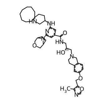 Cc1ncoc1COc1ccc2c(c1)CCN(C[C@@H](O)CNC(=O)c1cc(NC3CCC4(CCCCCCCC4)NC3)nc(N3C4CCC3COC4)c1)C2